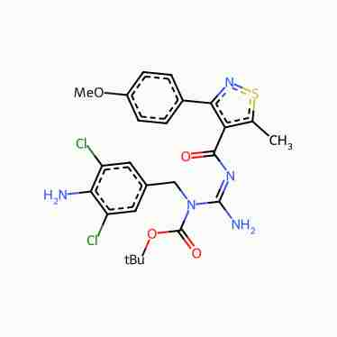 COc1ccc(-c2nsc(C)c2C(=O)N=C(N)N(Cc2cc(Cl)c(N)c(Cl)c2)C(=O)OC(C)(C)C)cc1